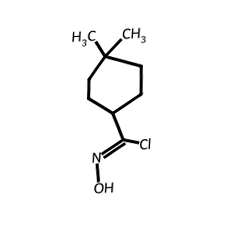 CC1(C)CCC(C(Cl)=NO)CC1